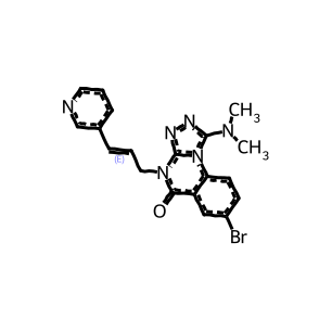 CN(C)c1nnc2n(C/C=C/c3cccnc3)c(=O)c3cc(Br)ccc3n12